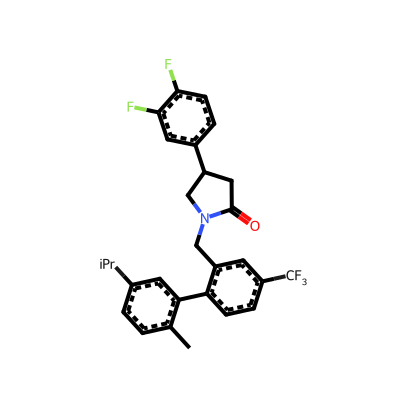 Cc1ccc(C(C)C)cc1-c1ccc(C(F)(F)F)cc1CN1CC(c2ccc(F)c(F)c2)CC1=O